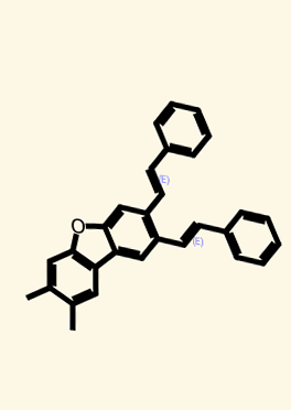 Cc1cc2oc3cc(/C=C/c4ccccc4)c(/C=C/c4ccccc4)cc3c2cc1C